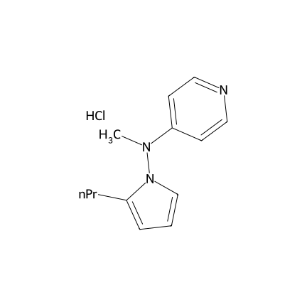 CCCc1cccn1N(C)c1ccncc1.Cl